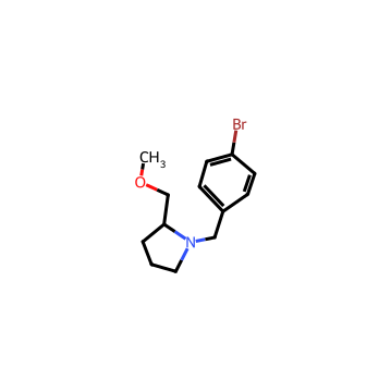 COCC1CCCN1Cc1ccc(Br)cc1